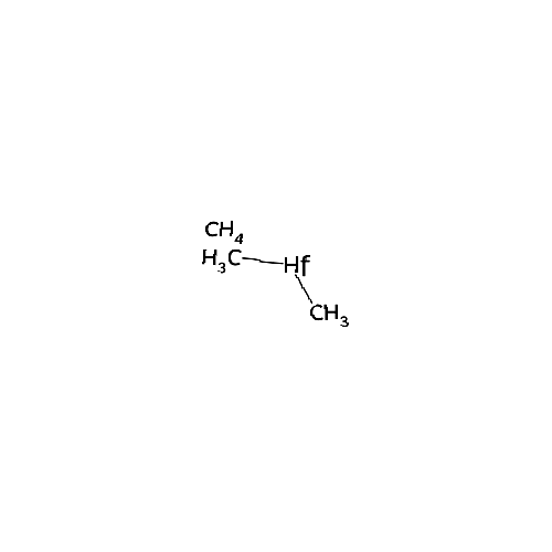 C.[CH3][Hf][CH3]